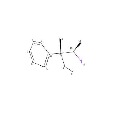 CC[C@](C)(c1ccccc1)[C@@H](C)I